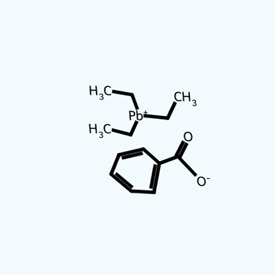 C[CH2][Pb+]([CH2]C)[CH2]C.O=C([O-])c1ccccc1